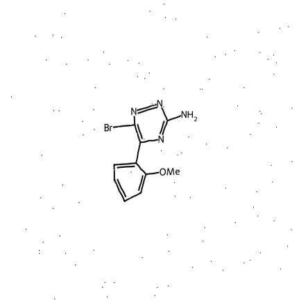 COc1ccccc1-c1nc(N)nnc1Br